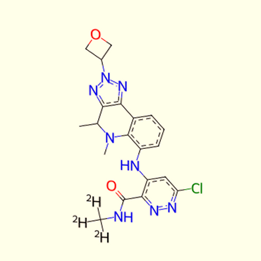 [2H]C([2H])([2H])NC(=O)c1nnc(Cl)cc1Nc1cccc2c1N(C)C(C)c1nn(C3COC3)nc1-2